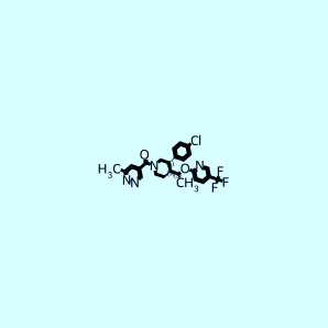 Cc1cc(C(=O)N2CC[C@H]([C@H](C)Oc3ccc(C(F)(F)F)cn3)[C@@H](c3ccc(Cl)cc3)C2)cnn1